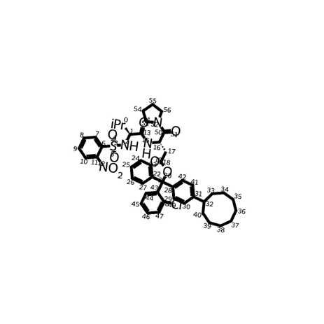 CC(C)[C@H](NS(=O)(=O)c1ccccc1[N+](=O)[O-])C(=O)N[C@@H](CC(=O)OC(c1ccccc1)(c1ccc(C2CCCCCCCC2)cc1)c1ccccc1Cl)C(=O)N1CCCC1